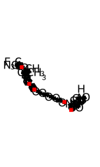 CC1(C)CN(Cc2ccc(-c3ccc(OCCOCCOCCOCCOCCNc4cccc5c4C(=O)N(C4CCC(=O)NC4=O)C5=O)cc3)cc2F)C(=O)C1Oc1ccc(C#N)c(C(F)(F)F)c1